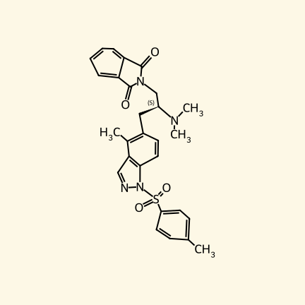 Cc1ccc(S(=O)(=O)n2ncc3c(C)c(C[C@@H](CN4C(=O)c5ccccc5C4=O)N(C)C)ccc32)cc1